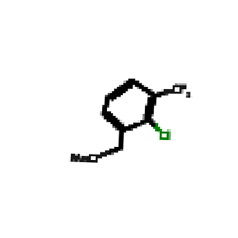 COCc1cccc(C(F)(F)F)c1Cl